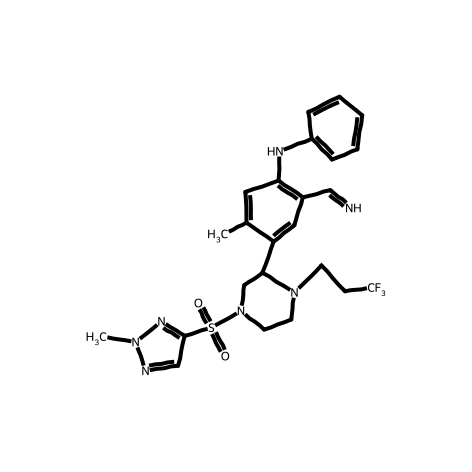 Cc1cc(Nc2ccccc2)c(C=N)cc1C1CN(S(=O)(=O)c2cnn(C)n2)CCN1CCC(F)(F)F